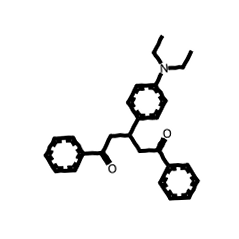 CCN(CC)c1ccc(C(CC(=O)c2ccccc2)CC(=O)c2ccccc2)cc1